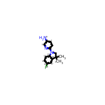 CC1(C)CN(c2ccc(N)cn2)c2ccc(F)cc21